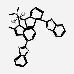 CC1=Cc2c(-c3nc4ccccc4s3)cccc2[CH]1[Zr]([Cl])([Cl])([CH]1C(C)=Cc2c(-c3nc4ccccc4s3)cccc21)[SiH](C)C